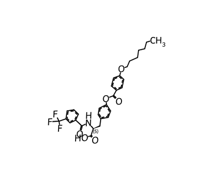 CCCCCCCOc1ccc(C(=O)Oc2ccc(C[C@H](NC(=O)c3cccc(C(F)(F)F)c3)C(=O)O)cc2)cc1